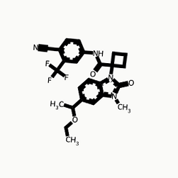 CCOC(C)c1ccc2c(c1)n(C)c(=O)n2C1(C(=O)Nc2ccc(C#N)c(C(F)(F)F)c2)CCC1